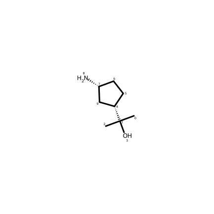 CC(C)(O)[C@H]1CC[C@@H](N)C1